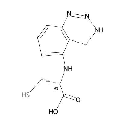 O=C(O)[C@H](CS)Nc1cccc2c1CNN=N2